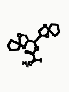 C=C(I)C(=O)OC(C1COC2(CCCC2)O1)C1COC2(CCCC2)O1